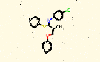 CC(=COc1ccccc1)C(=Nc1ccc(Cl)cc1)Sc1ccccc1